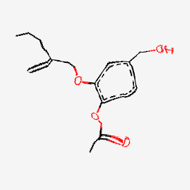 C=C(CC)COc1cc(CO)ccc1OC(C)=O